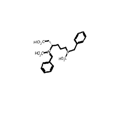 O=C(O)C[C@H](CCCN(Cc1ccccc1)C(=O)O)N(Cc1ccccc1)C(=O)O